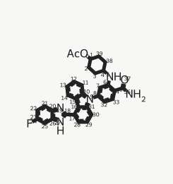 CC(=O)OC1CCC(Nc2cc(-n3c4ccccc4c4c(-c5nc6ccc(F)cc6[nH]5)cccc43)ccc2C(N)=O)CC1